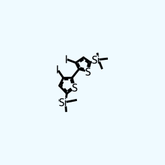 C[Si](C)(C)c1cc(I)c(-c2sc([Si](C)(C)C)cc2I)s1